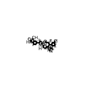 Cn1c(=O)[nH]c2ccc(-c3cnc([C@@H]4CC[C@H]5CC(c6c(-n7cnnn7)ccc(Cl)c6F)=CC(=O)N54)[nH]3)cc21